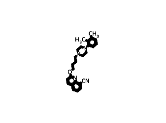 Cc1cccc(N2CCN(CCCCOc3ccc4cccc(C#N)c4n3)CC2)c1C